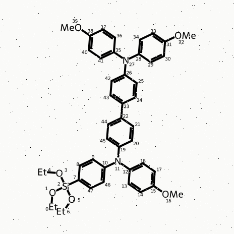 CCO[Si](OCC)(OCC)c1ccc(N(c2ccc(OC)cc2)c2ccc(-c3ccc(N(c4ccc(OC)cc4)c4ccc(OC)cc4)cc3)cc2)cc1